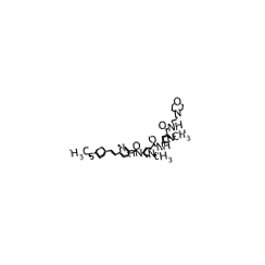 CSc1ccc(C=Cc2ccc(C(=O)Nc3cc(C(=O)Nc4cc(C(=O)NCCN5CCOCC5)n(C)c4)n(C)c3)cn2)cc1